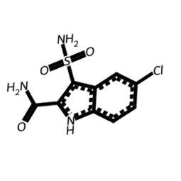 NC(=O)c1[nH]c2ccc(Cl)cc2c1S(N)(=O)=O